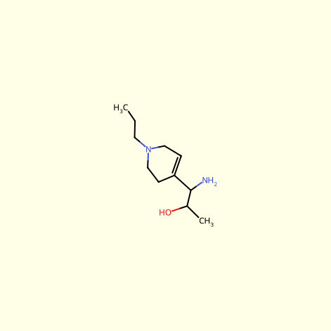 CCCN1CC=C(C(N)C(C)O)CC1